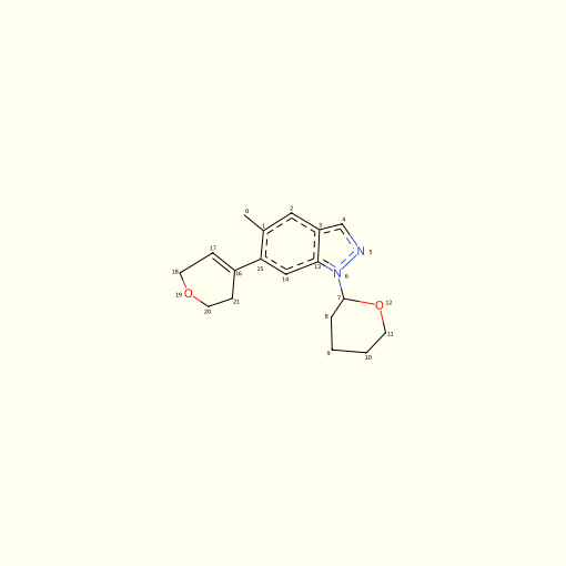 Cc1cc2cnn(C3CCCCO3)c2cc1C1=CCOCC1